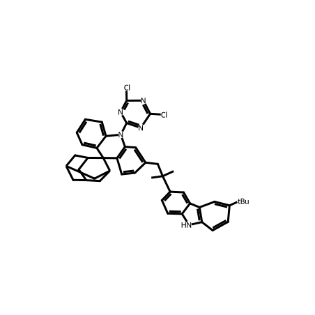 CC(C)(C)c1ccc2[nH]c3ccc(C(C)(C)Cc4ccc5c(c4)N(c4nc(Cl)nc(Cl)n4)c4ccccc4C54C5CC6CC(C5)CC4C6)cc3c2c1